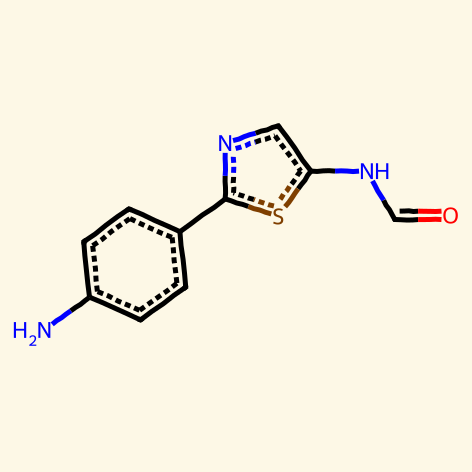 Nc1ccc(-c2ncc(NC=O)s2)cc1